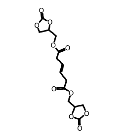 O=C(C/C=C/CC(=O)OCC1COC(=O)O1)OCC1COC(=O)O1